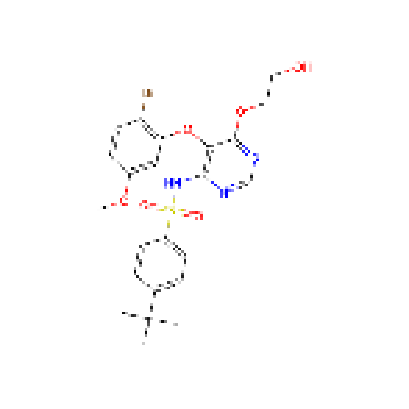 COc1ccc(Br)c(Oc2c(NS(=O)(=O)c3ccc(C(C)(C)C)cc3)ncnc2OCCO)c1